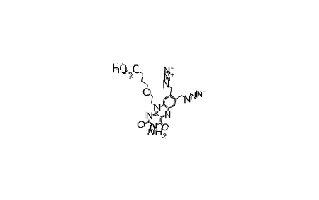 [N-]=[N+]=NCc1cc2nc3c(=O)n(N)c(=O)nc-3n(CCOCCCC(=O)O)c2cc1CN=[N+]=[N-]